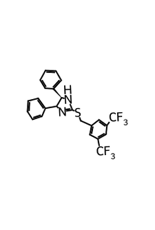 FC(F)(F)c1cc(CSC2=NC(c3ccccc3)[C@@H](c3ccccc3)N2)cc(C(F)(F)F)c1